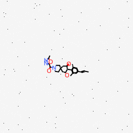 CC#Cc1cc(C)c(C2C(=O)CC3(CCN(C(=O)c4nnc(C)o4)CC3)CC2=O)c(C)c1